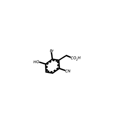 N#Cc1ccc(O)c(Br)c1CC(=O)O